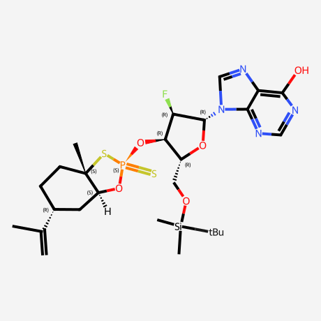 C=C(C)[C@@H]1CC[C@]2(C)S[P@@](=S)(O[C@H]3[C@@H](F)[C@H](n4cnc5c(O)ncnc54)O[C@@H]3CO[Si](C)(C)C(C)(C)C)O[C@H]2C1